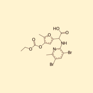 CCOC(=O)Oc1cc(C(Nc2nc(C)c(Br)cc2Br)C(=O)O)oc1C